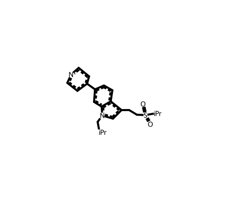 CC(C)Cn1cc(CCS(=O)(=O)C(C)C)c2ccc(-c3ccncc3)cc21